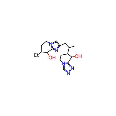 CCC1CCn2cc(CC(C)C3CCn4cnnc4C3O)nc2C1O